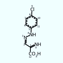 N=C(/C=N\Nc1ccc(Cl)cc1)C(=O)O